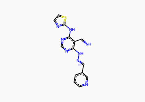 N=Cc1c(N/N=C/c2cccnc2)ncnc1Nc1nccs1